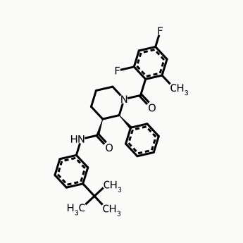 Cc1cc(F)cc(F)c1C(=O)N1CCC[C@H](C(=O)Nc2cccc(C(C)(C)C)c2)[C@@H]1c1ccccc1